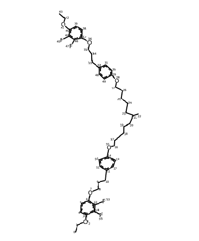 CCOc1ccc(OCCCc2ccc(OCCCCCC(C)CCCCCOc3ccc(CCCOc4ccc(OCC)c(F)c4F)cc3)cc2)c(F)c1F